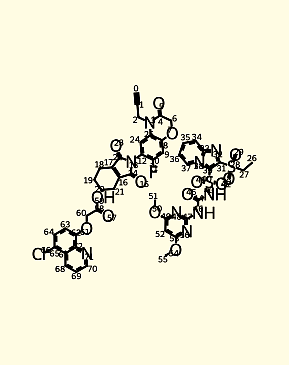 C#CCN1C(=O)COc2cc(F)c(N3C(=O)C4=C(CCCC4)C3=O)cc21.CCS(=O)(=O)c1nc2ccccn2c1S(=O)(=O)NC(=O)Nc1nc(OC)cc(OC)n1.O=C(O)COc1ccc(Cl)c2cccnc12